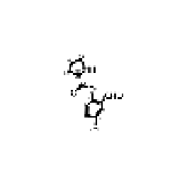 O=Cc1cc(Br)ccc1OC(=O)[C@@H]1CCCN1